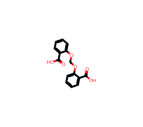 O=C(O)c1ccccc1OCOc1ccccc1C(=O)O